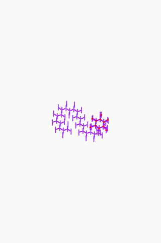 II(I)I(I)I(I)I(I)I(I)I(I)I(I)I(I)I(I)I(I)I(I)I(I)I(I)I(I)I(I)I(I)I(I)I(I)I(I)I(I)I(I)I(I)I(I)I(I)I(I)I(I)I(I)I(I)I(I)I(I)I(I)I(I)I(I)I(I)I(I)I